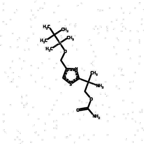 CC(N)(COC(N)=O)c1nc(CO[Si](C)(C)C(C)(C)C)cs1